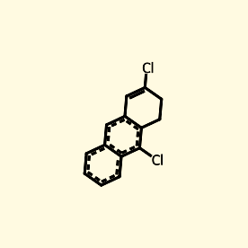 ClC1=Cc2cc3ccccc3c(Cl)c2CC1